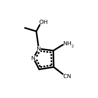 CC(O)n1ncc(C#N)c1N